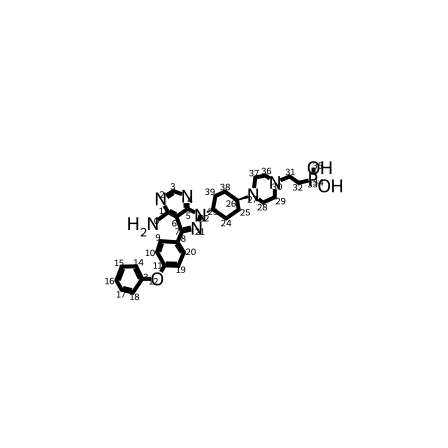 Nc1ncnc2c1c(-c1ccc(Oc3ccccc3)cc1)nn2[C@H]1CC[C@H](N2CCN(CCP(O)O)CC2)CC1